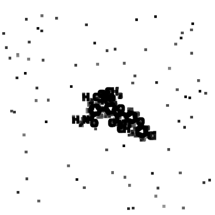 CCN(c1cc2oc(-c3ccc(Oc4cccc(Cl)c4)cc3)c(C(=O)NC)c2cc1-c1cccc(C(N)=O)c1)S(C)(=O)=O